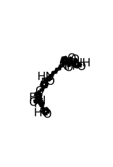 O=C(CN1CCC(COc2cc(F)c3c(=O)[nH]c(CSC4CCOCC4)nc3c2)CC1)NCCCCCCNc1cccc2c1C(=O)N(C1CCC(=O)NC1=O)C2=O